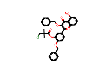 CC(C)(CCl)C(=O)Oc1cc(-c2oc3cccc(O)c3c(=O)c2OCc2ccccc2)ccc1OCc1ccccc1